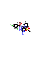 CCCS(=O)(=O)[C@@H]1CCCCN1C1(CNC(=O)c2ccc(Cl)cc2Cl)CCNCC1